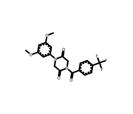 COc1cc(OC)cc(N2CC(=O)N(C(=O)c3ccc(C(F)(F)F)cc3)CC2=O)c1